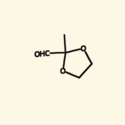 CC1(C=O)OCCO1